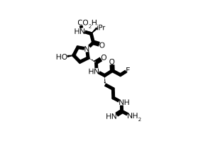 CC(C)[C@H](NC(=O)O)C(=O)N1C[C@H](O)C[C@H]1C(=O)N[C@@H](CCCNC(=N)N)C(=O)CF